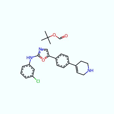 CC(C)(C)OC=O.Clc1cccc(Nc2ncc(-c3ccc(C4=CCNCC4)cc3)o2)c1